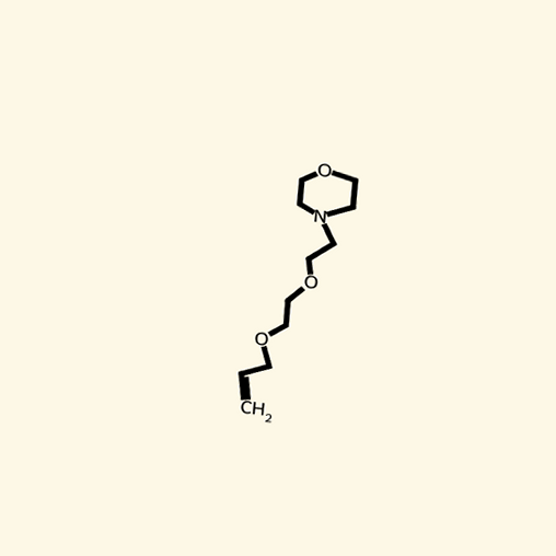 C=CCOCCOCCN1CCOCC1